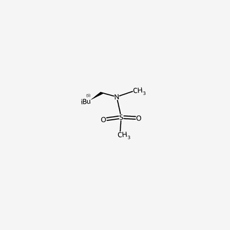 CC[C@H](C)CN(C)S(C)(=O)=O